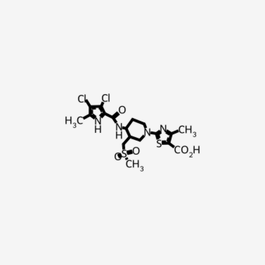 Cc1nc(N2CCC(NC(=O)c3[nH]c(C)c(Cl)c3Cl)C(CS(C)(=O)=O)C2)sc1C(=O)O